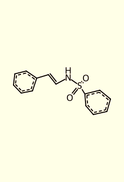 O=S(=O)(NC=Cc1ccccc1)c1ccccc1